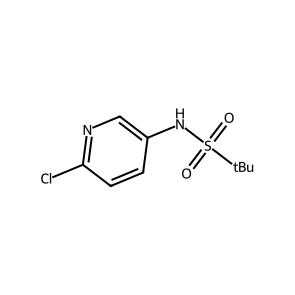 CC(C)(C)S(=O)(=O)Nc1ccc(Cl)nc1